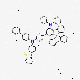 c1ccc(-c2ccc(N(c3ccc(-c4cc(N(c5ccccc5)c5ccccc5)c5c(c4)C4(c6ccccc6-c6ccccc64)c4ccccc4-5)cc3)c3ccc4c(c3)sc3ccccc34)cc2)cc1